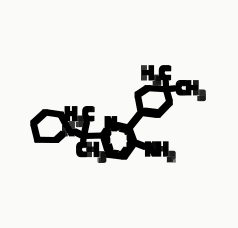 CC1(C)CC=C(c2nc(C(C)(C)N3CCCCC3)ccc2N)CC1